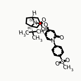 CC(C)(C)[C@@]12CC[C@@H](C[C@H](Oc3ccn(-c4ccc(S(C)(=O)=O)cc4)c(=O)c3)C1)N2C(=O)O